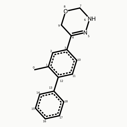 Cc1cc(C2=NNCOC2)ccc1-c1ccccc1